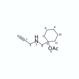 C#CCNCC1(OC(C)=O)CCCCC1